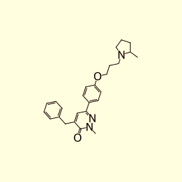 CC1CCCN1CCCOc1ccc(-c2cc(Cc3ccccc3)c(=O)n(C)n2)cc1